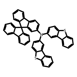 c1ccc2c(c1)-c1ccccc1C21c2ccccc2-c2ccc(N(c3ccc4sc5ccccc5c4c3)c3ccc4sc5ccccc5c4c3)cc21